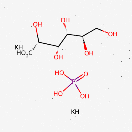 O=C(O)[C@H](O)[C@@H](O)[C@H](O)[C@H](O)CO.O=P(O)(O)O.[KH].[KH]